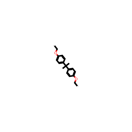 [CH2]COc1ccc(C(C)(C)c2ccc(OC[CH2])cc2)cc1